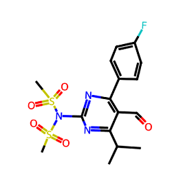 CC(C)c1nc(N(S(C)(=O)=O)S(C)(=O)=O)nc(-c2ccc(F)cc2)c1C=O